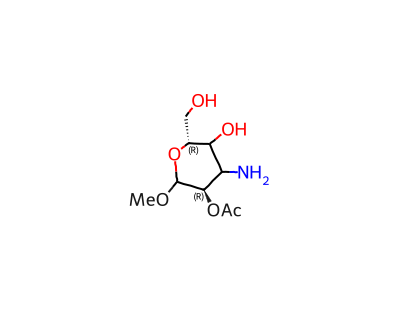 COC1O[C@H](CO)C(O)C(N)[C@H]1OC(C)=O